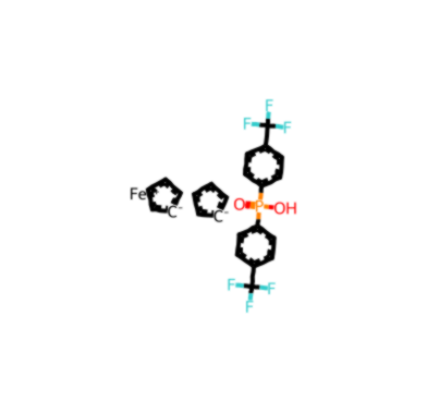 O=P(O)(c1ccc(C(F)(F)F)cc1)c1ccc(C(F)(F)F)cc1.[Fe+2].c1cc[cH-]c1.c1cc[cH-]c1